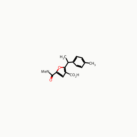 CNC(=O)c1cc(C(=O)O)c(C(C)c2ccc(C)cc2)o1